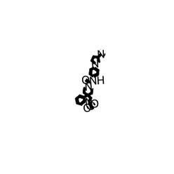 CN(C)C1CCN(c2ccc(NC(=O)N3CCC4(CC3)CN(S(C)(=O)=O)c3ccccc34)cc2)C1